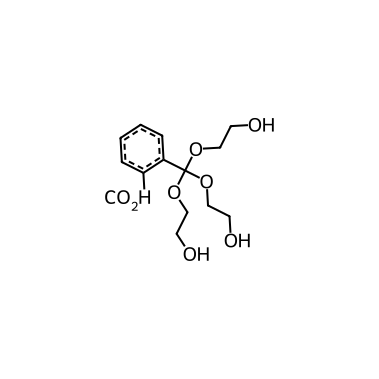 O=C(O)c1ccccc1C(OCCO)(OCCO)OCCO